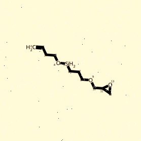 C=CCCO[SiH2]CCCOCC1CO1